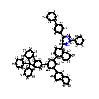 c1ccc(-c2ccc(-c3cc(-c4ccc(-c5cc(-c6ccc7c(c6)-c6ccccc6C7(c6ccccc6)c6ccccc6)cc(-c6ccc7ccccc7c6)c5)c5ccccc45)nc(-c4ccccc4)n3)cc2)cc1